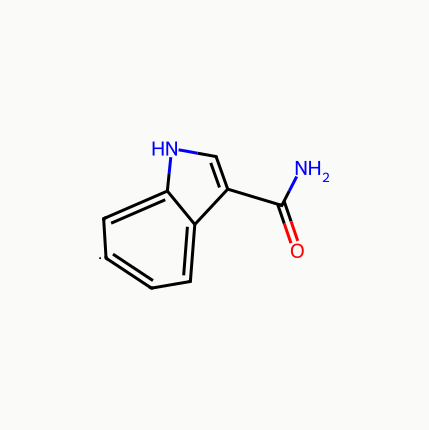 NC(=O)c1c[nH]c2c[c]ccc12